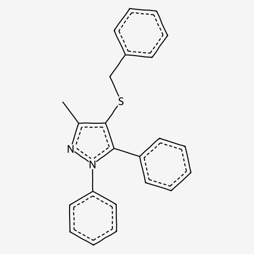 Cc1nn(-c2ccccc2)c(-c2ccccc2)c1SCc1ccccc1